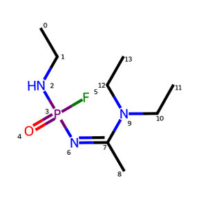 CCNP(=O)(F)N=C(C)N(CC)CC